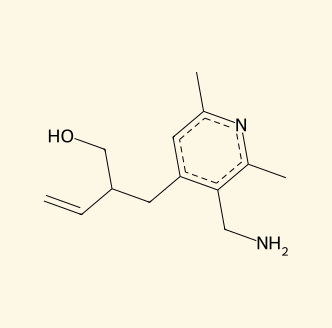 C=CC(CO)Cc1cc(C)nc(C)c1CN